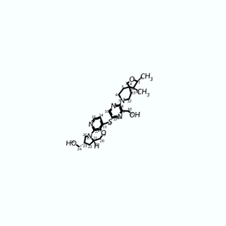 C[C@@H]1OCC2(CCN(c3ncc(Sc4ccnc5c4OC[C@@H]4C[C@H](CO)CN54)nc3CO)CC2)[C@@H]1C